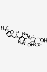 Cc1ccc(CNc2ncnc3c2ncn3[C@@H]2O[C@H](CO)[C@H](O)C2O)o1